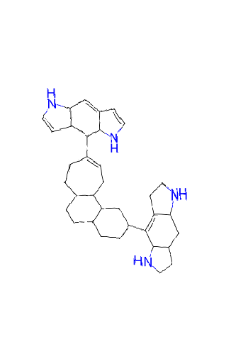 C1=CC2C(C=C3C=CNC3C2C2=CCC3C(CC2)CCC2CCC(C4=C5CCNC5CC5CCNC45)CC23)N1